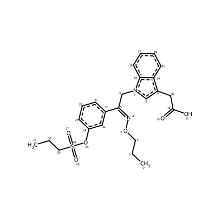 CCCON=C(Cn1cc(CC(=O)O)c2ccccc21)c1cccc(OS(=O)(=O)CCC)c1